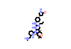 CCCN1CC2C(NC1NC1CCC([C@@H]3CNC(=O)C3)CC1)N(C1CCCC(CNC)N1)[C@H]1CC(C)(C)OC[C@@]21C